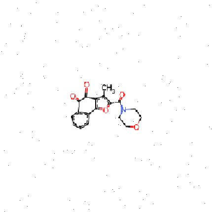 Cc1c(C(=O)N2CCOCC2)oc2c1C(=O)C(=O)c1ccccc1-2